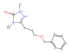 CCn1c(CCCOCc2ccccc2)nn(C)c1=O